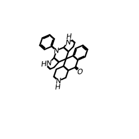 O=C1c2ccccc2C2(C3CCNCC13)C1CCCNC1N(c1ccccc1)C1NCCCC12